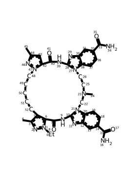 CCn1nc(C)c2c1C(=O)Nc1nc3cc(C(N)=O)ccc3n1CN(C)CCn1c(nc3cc(C(N)=O)ccc31)NC(=O)c1cc(C)nn1CCCCC2